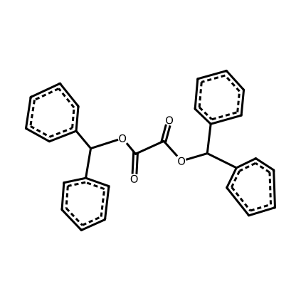 O=C(OC(c1ccccc1)c1ccccc1)C(=O)OC(c1ccccc1)c1ccccc1